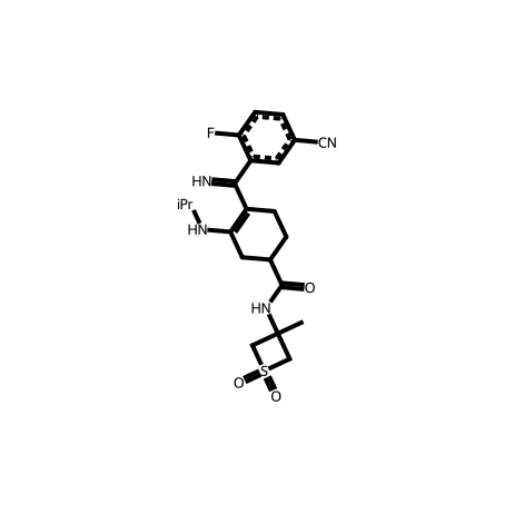 CC(C)NC1=C(C(=N)c2cc(C#N)ccc2F)CCC(C(=O)NC2(C)CS(=O)(=O)C2)C1